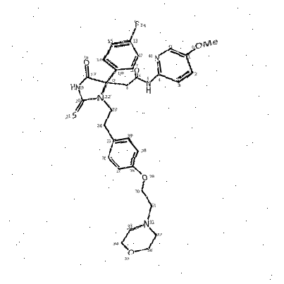 COc1ccc(NC(=O)CC2(c3ccc(F)cc3)C(=O)NC(=S)N2CCc2ccc(OCCN3CCOCC3)cc2)nc1